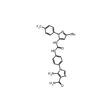 CC(C)(C)c1cc(NC(=O)Nc2ccc(-n3cnc(C(N)=O)c3N)cc2)n(-c2ccc(C(F)(F)F)cc2)n1